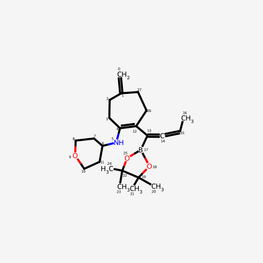 C=C1CCC(NC2CCOCC2)=C(C(=C=CC)B2OC(C)(C)C(C)(C)O2)CC1